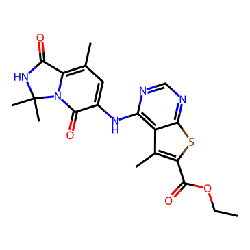 CCOC(=O)c1sc2ncnc(Nc3cc(C)c4n(c3=O)C(C)(C)NC4=O)c2c1C